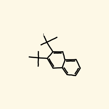 CC(C)(C)c1cc2ccccc2cc1C(C)(C)I